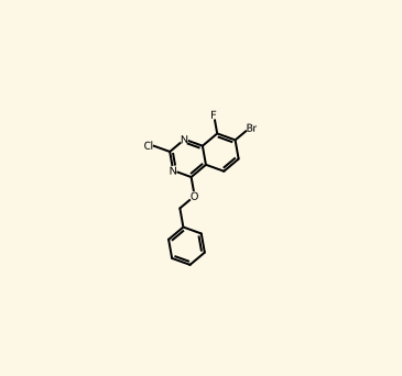 Fc1c(Br)ccc2c(OCc3ccccc3)nc(Cl)nc12